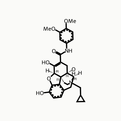 COc1ccc(NC(=O)C2=C(O)[C@@H]3Oc4c(O)ccc5c4[C@@]34CCN(CC3CC3)[C@H](C5)[C@]4(O)C2)cc1OC